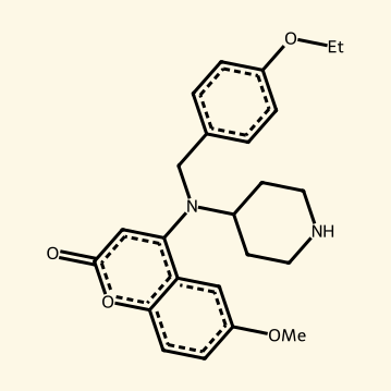 CCOc1ccc(CN(c2cc(=O)oc3ccc(OC)cc23)C2CCNCC2)cc1